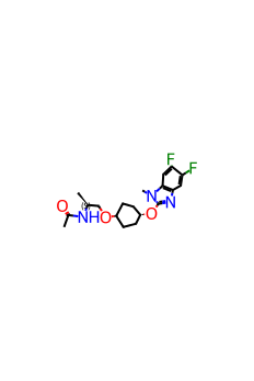 CC(=O)N[C@@H](C)CO[C@H]1CC[C@H](Oc2nc3cc(F)c(F)cc3n2C)CC1